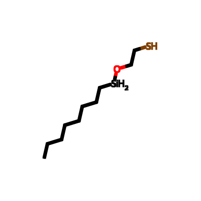 CCCCCCCC[SiH2]OCCS